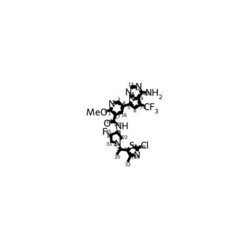 COc1ncc(-c2cc(C(F)(F)F)c3c(N)ncnn23)cc1C(=O)N[C@@H]1CN(C(C)c2sc(Cl)nc2C)C[C@@H]1F